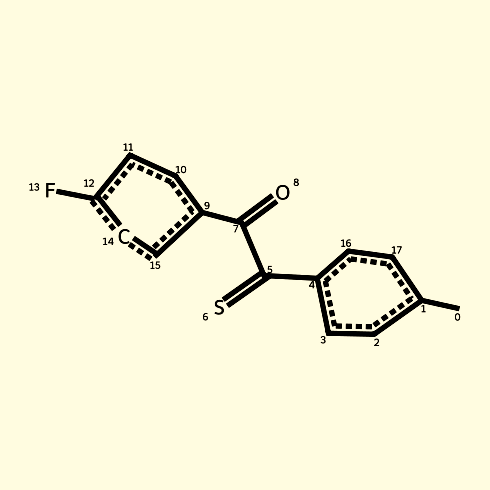 Cc1ccc(C(=S)C(=O)c2ccc(F)cc2)cc1